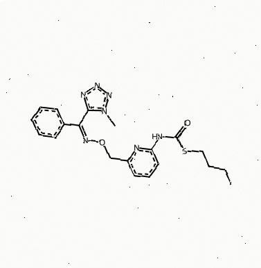 CCCCSC(=O)Nc1cccc(CON=C(c2ccccc2)c2nnnn2C)n1